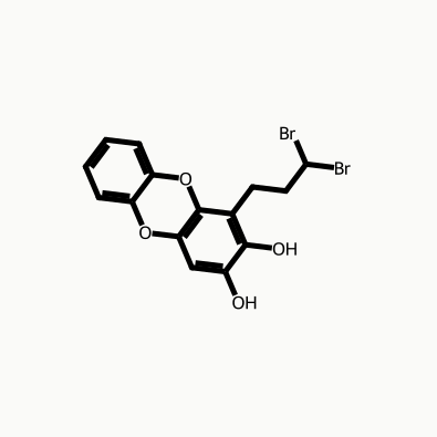 Oc1cc2c(c(CCC(Br)Br)c1O)Oc1ccccc1O2